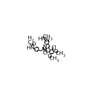 C=CC(=O)Nc1ccc(Cc2cn3c(n2)c(-c2c(Cl)c(OC)cc(OC)c2Cl)cc2cnc(NC)cc23)cc1